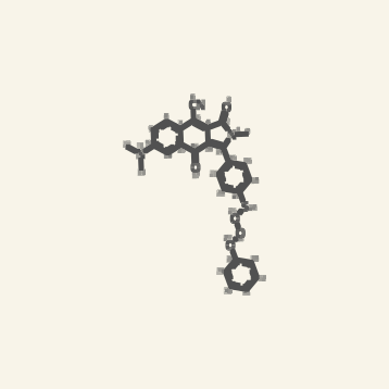 CN1C(=O)C2=C(C#N)c3ccc(N(C)C)cc3C(=O)C2=C1c1ccc(SOOOc2ccccc2)cc1